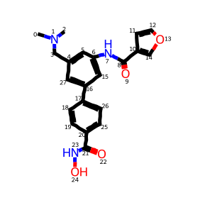 CN(C)Cc1cc(NC(=O)c2ccoc2)cc(-c2ccc(C(=O)NO)cc2)c1